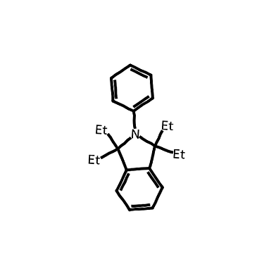 CCC1(CC)c2ccccc2C(CC)(CC)N1c1ccccc1